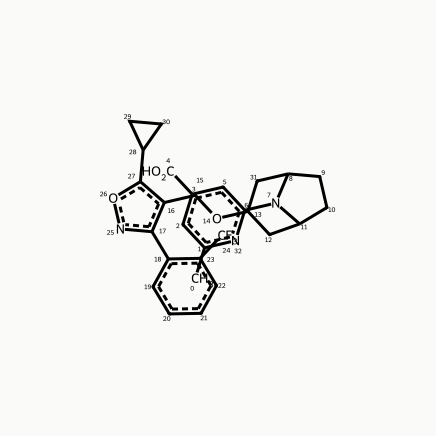 Cc1cc(C(=O)O)cc(N2C3CCC2CC(OCc2c(-c4ccccc4C(F)(F)F)noc2C2CC2)C3)n1